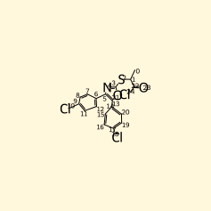 CC(Sc1nc(-c2ccc(Cl)cc2)c(-c2ccc(Cl)cc2)o1)C(=O)Cl